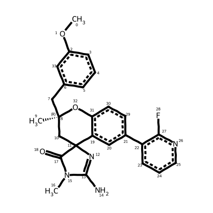 COc1cccc(C[C@]2(C)CC3(N=C(N)N(C)C3=O)c3cc(-c4cccnc4F)ccc3O2)c1